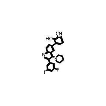 N#Cc1cccc(-c2ccc3ncc(-c4cc(F)cc(F)c4)c(N4CCCCC4)c3c2)c1O